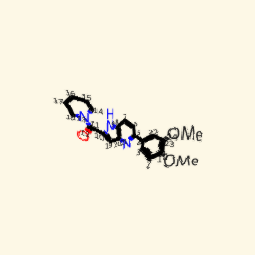 COc1ccc(-c2ccc3[nH]c(C(=O)N4CCCCC4)cc3n2)cc1OC